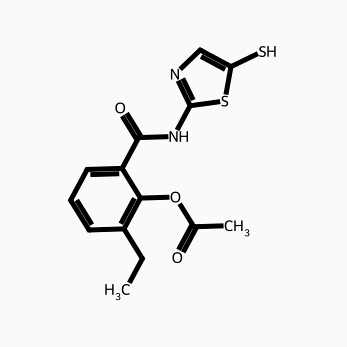 CCc1cccc(C(=O)Nc2ncc(S)s2)c1OC(C)=O